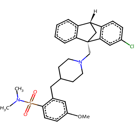 COc1ccc(S(=O)(=O)N(C)C)c(CC2CCN(C[C@@]34C[C@H](c5ccccc53)c3ccc(Cl)cc34)CC2)c1